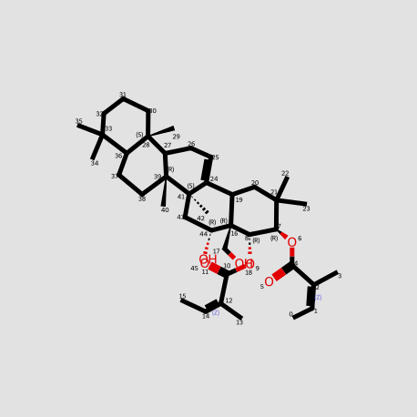 C/C=C(/C)C(=O)O[C@H]1[C@H](OC(=O)/C(C)=C\C)[C@@]2(CO)C(CC1(C)C)C1=CCC3[C@@]4(C)CCCC(C)(C)C4CC[C@@]3(C)[C@]1(C)C[C@H]2O